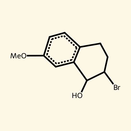 COc1ccc2c(c1)C(O)C(Br)CC2